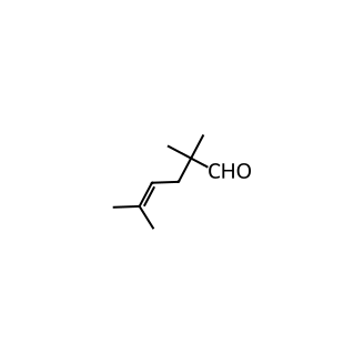 CC(C)=CCC(C)(C)C=O